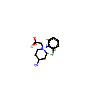 NC1CC[N+](CC(=O)[O-])(c2ccccc2F)CC1